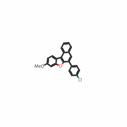 COc1ccc2c(c1)oc1c(-c3ccc(Cl)cc3)cc3ccccc3c12